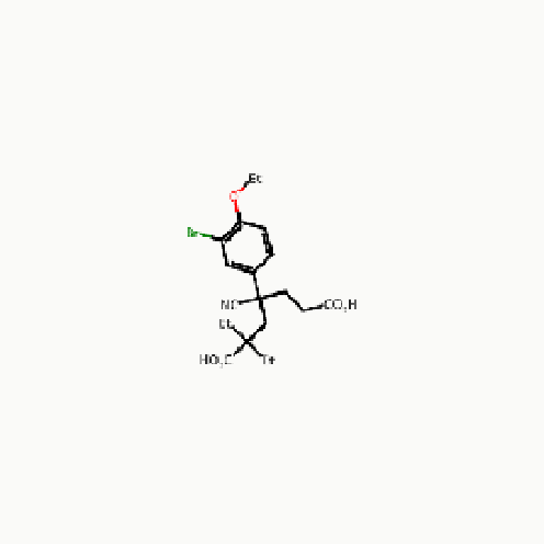 CCOc1ccc(C(C#N)(CCC(=O)O)CC(CC)(CC)C(=O)O)cc1Br